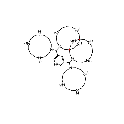 c1ncc(C(N2CCCNCCNCCCNCC2)N2CCCNCCNCCCNCC2)cc1C(N1CCCNCCNCCCNCC1)N1CCCNCCNCCCNCC1